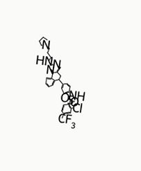 O=S(=O)(Nc1ccc(C2Cc3cnc(NCCCN4CCCC4)nc3-c3ccccc32)cc1)c1ccc(C(F)(F)F)cc1Cl